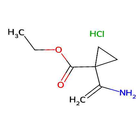 C=C(N)C1(C(=O)OCC)CC1.Cl